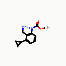 CC(C)(C)OC(=O)Nc1cccc(C2CC2)c1CN